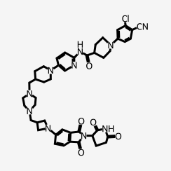 N#Cc1ccc(N2CCC(C(=O)Nc3ccc(N4CCC(CN5CCN(CC6CN(c7ccc8c(c7)C(=O)N(C7CCC(=O)NC7=O)C8=O)C6)CC5)CC4)cn3)CC2)cc1Cl